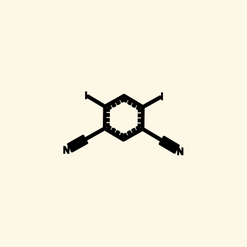 N#Cc1cc(C#N)c(I)cc1I